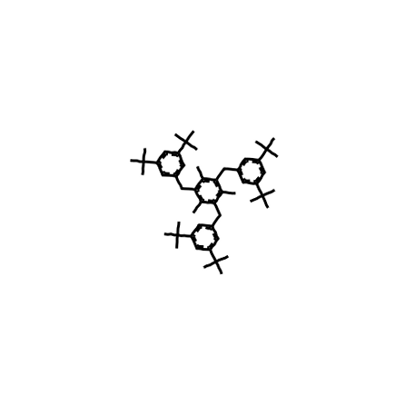 Cc1c(Cc2cc(C(C)(C)C)cc(C(C)(C)C)c2)c(C)c(Cc2cc(C(C)(C)C)cc(C(C)(C)C)c2)c(C)c1Cc1cc(C(C)(C)C)cc(C(C)(C)C)c1